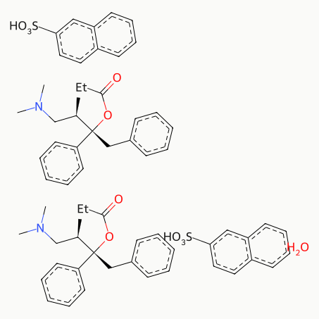 CCC(=O)O[C@](Cc1ccccc1)(c1ccccc1)[C@H](C)CN(C)C.CCC(=O)O[C@](Cc1ccccc1)(c1ccccc1)[C@H](C)CN(C)C.O.O=S(=O)(O)c1ccc2ccccc2c1.O=S(=O)(O)c1ccc2ccccc2c1